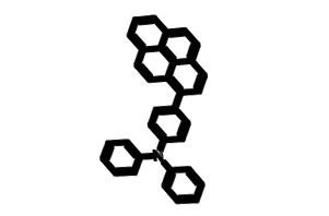 c1ccc(N(c2ccccc2)c2ccc(-c3ccc4ccc5cccc6ccc3c4c56)cc2)cc1